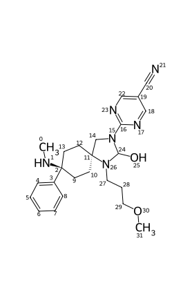 CN[C@]1(c2ccccc2)CC[C@]2(CC1)CN(c1ncc(C#N)cn1)C(O)N2CCCOC